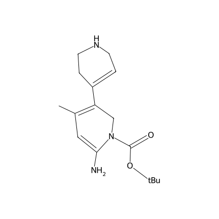 CC1=C(C2=CCNCC2)CN(C(=O)OC(C)(C)C)C(N)=C1